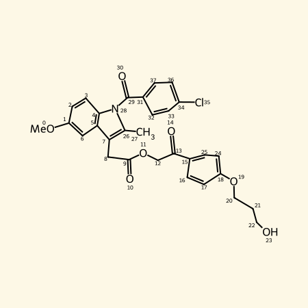 COc1ccc2c(c1)c(CC(=O)OCC(=O)c1ccc(OCCCO)cc1)c(C)n2C(=O)c1ccc(Cl)cc1